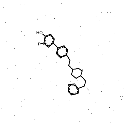 C[C@@H](CC1CCC(CCc2ccc(-c3ccc(O)c(F)c3)cc2)CC1)c1ccccc1